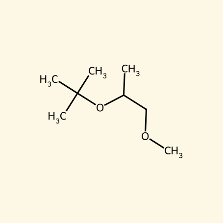 COCC(C)OC(C)(C)C